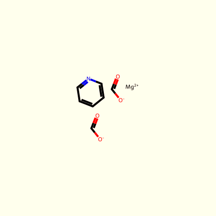 O=C[O-].O=C[O-].[Mg+2].c1ccncc1